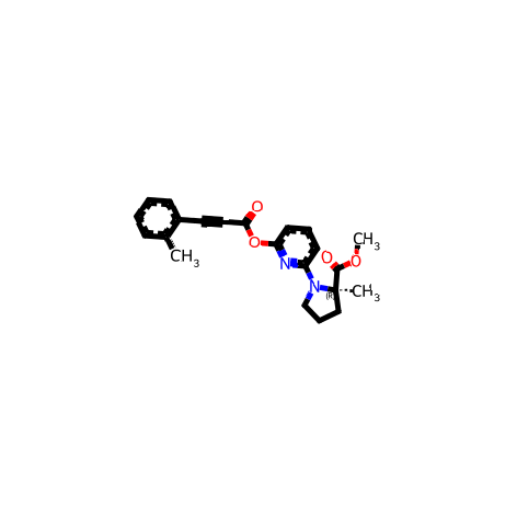 COC(=O)[C@@]1(C)CCCN1c1cccc(OC(=O)C#Cc2ccccc2C)n1